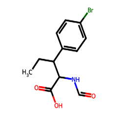 CCC(c1ccc(Br)cc1)C(NC=O)C(=O)O